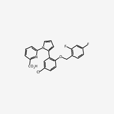 O=C(O)c1cccc(-n2cccc2-c2cc(Cl)ccc2OCc2ccc(F)cc2F)n1